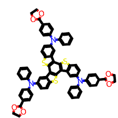 C1=CC(C2OCCO2)CC=C1N(c1ccccc1)c1ccc2sc3c(c2c1)c1sc2ccc(N(c4ccccc4)c4ccc(C5OCCO5)cc4)cc2c1c1sc2ccc(N(c4ccccc4)c4ccc(C5OCCO5)cc4)cc2c31